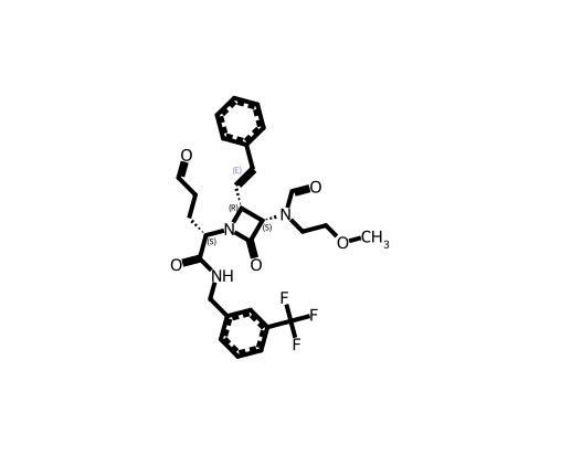 COCCN(C=O)[C@@H]1C(=O)N([C@@H](CCC=O)C(=O)NCc2cccc(C(F)(F)F)c2)[C@@H]1/C=C/c1ccccc1